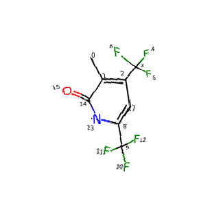 CC1=C(C(F)(F)F)[C]=C(C(F)(F)F)[N]C1=O